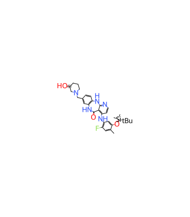 Cc1cc(F)c(Nc2ccnc3c2C(=O)Nc2cc(CN4CCC[C@H](O)C4)ccc2N3)cc1O[Si](C)(C)C(C)(C)C